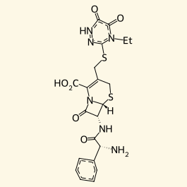 CCn1c(SCC2=C(C(=O)O)N3C(=O)[C@@H](NC(=O)[C@H](N)c4ccccc4)[C@H]3SC2)n[nH]c(=O)c1=O